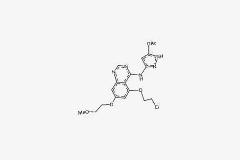 COCCOc1cc(OCCCl)c2c(Nc3cc(OC(C)=O)[nH]n3)ncnc2c1